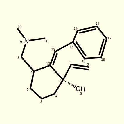 C=C[C@@]1(O)CCCC(CN(C)C)C1=Cc1ccccc1